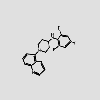 Fc1cc(F)c(NC2CCN(c3cccc4ncccc34)CC2)c(F)c1